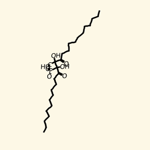 CCCCCCCCCCCC(=O)C(O)(CO)C(O)(C(=O)CCCCCCCCCCC)P(=O)=O